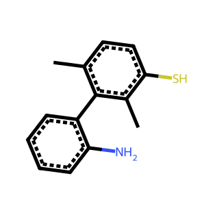 Cc1ccc(S)c(C)c1-c1ccccc1N